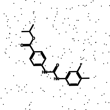 Cc1ccc(NC(=O)Nc2ccc(C(=O)OC(C)C)cc2)cc1F